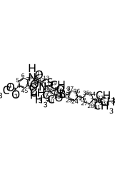 COC(=O)c1ccc(NS(=O)(=O)c2csc(C3(C)C4(C)OB(c5ccc(C6CCC(C(C)(C)C)CC6)cc5)OC43C)n2)c(OC)c1